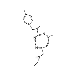 CCNCc1ccn(C)nc(N(C)Cc2ccc(C)cc2)ncn1